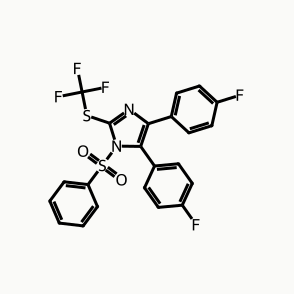 O=S(=O)(c1ccccc1)n1c(SC(F)(F)F)nc(-c2ccc(F)cc2)c1-c1ccc(F)cc1